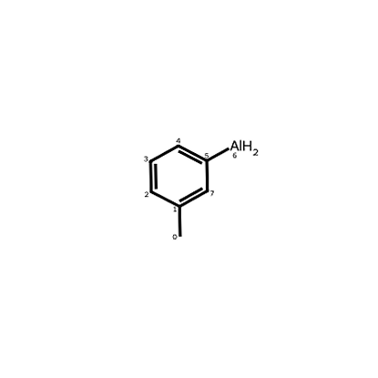 Cc1ccc[c]([AlH2])c1